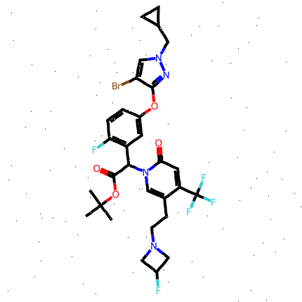 CC(C)(C)OC(=O)C(c1cc(Oc2nn(CC3CC3)cc2Br)ccc1F)n1cc(CCN2CC(F)C2)c(C(F)(F)F)cc1=O